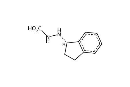 O=C(O)NN[C@H]1CCc2ccccc21